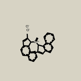 [CH2]=[Zr+2]([CH]1C(C)=Cc2ccc3ccccc3c21)[CH]1C(C)=Cc2ccc3ccccc3c21.[Cl-].[Cl-]